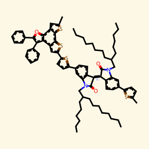 CCCCCCCCC(CCCCCC)CN1C(=O)/C(=C2/C(=O)N(CC(CCCCCC)CCCCCCCC)c3cc(-c4ccc(-c5cc6c(s5)c5sc(C)cc5c5oc(-c7ccccc7)c(-c7ccccc7)c65)s4)ccc32)c2ccc(-c3ccc(C)s3)cc21